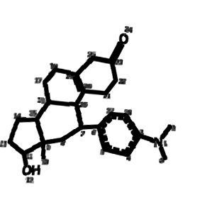 CN(C)c1ccc(C2CC3(C)C(O)CCC3C3CCC4=C(CCC(=O)C4)C23)cc1